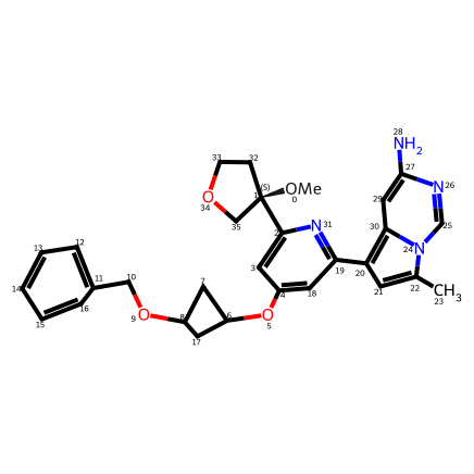 CO[C@]1(c2cc(OC3CC(OCc4ccccc4)C3)cc(-c3cc(C)n4cnc(N)cc34)n2)CCOC1